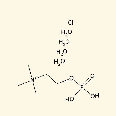 C[N+](C)(C)CCOP(=O)(O)O.O.O.O.O.[Cl-]